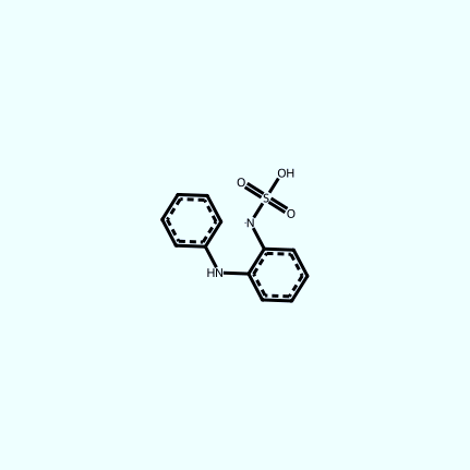 O=S(=O)(O)[N]c1ccccc1Nc1ccccc1